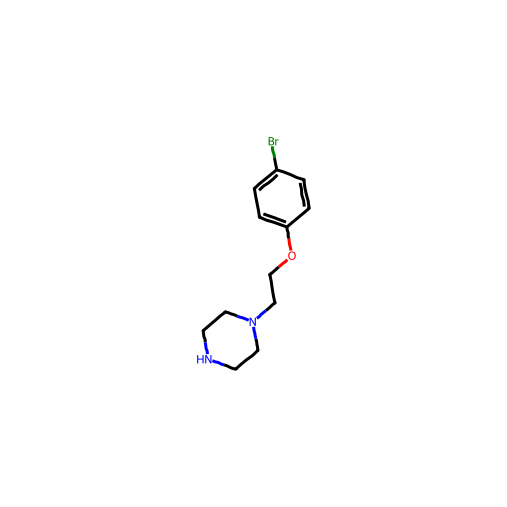 Brc1ccc(OCCN2CCNCC2)cc1